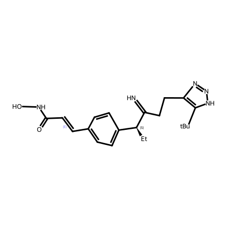 CC[C@H](C(=N)CCc1nn[nH]c1C(C)(C)C)c1ccc(/C=C/C(=O)NO)cc1